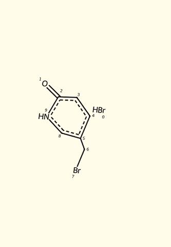 Br.O=c1ccc(CBr)c[nH]1